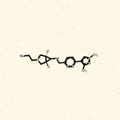 Cc1nn(C)cc1-c1ccc(CNC2[C@@H]3CN(CCC(C)(C)C)C[C@@H]23)nn1